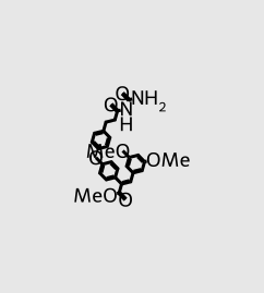 COC(=O)C(=Cc1cc(OC)cc(OC)c1)c1ccc(Oc2ccc(CCC(=O)NC(N)=O)cc2)cc1